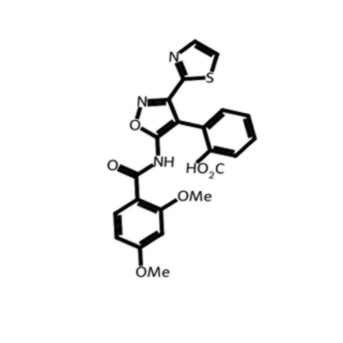 COc1ccc(C(=O)Nc2onc(-c3nccs3)c2-c2ccccc2C(=O)O)c(OC)c1